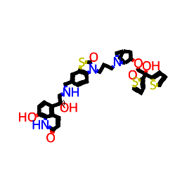 O=C(OC1CC2CC1N(CCCn1c(=O)sc3cc(CNC[C@H](O)c4ccc(O)c5[nH]c(=O)ccc45)ccc31)C2)C(O)(c1cccs1)c1cccs1